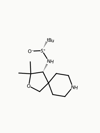 CC1(C)OCC2(CCNCC2)[C@H]1N[S@+]([O-])C(C)(C)C